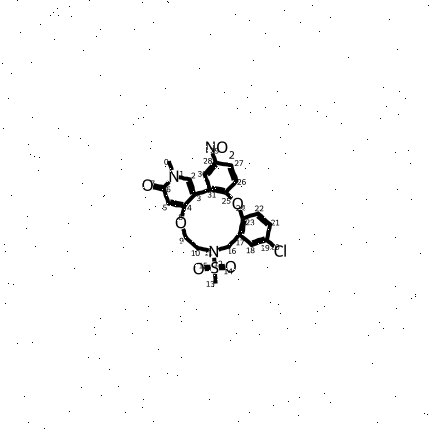 Cn1cc2c(cc1=O)OCCN(S(C)(=O)=O)Cc1cc(Cl)ccc1Oc1ccc([N+](=O)[O-])cc1-2